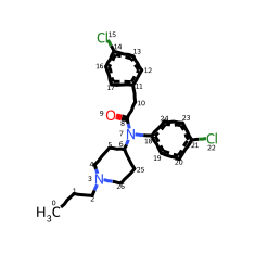 CCCN1CCC(N(C(=O)Cc2ccc(Cl)cc2)c2ccc(Cl)cc2)CC1